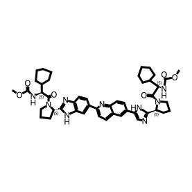 COC(=O)N[C@H](C(=O)N1CCC[C@H]1c1ncc(-c2ccc3nc(-c4ccc5nc([C@@H]6CCCN6C(=O)[C@@H](NC(=O)OC)C6CCCCC6)[nH]c5c4)ccc3c2)[nH]1)C1CCCCC1